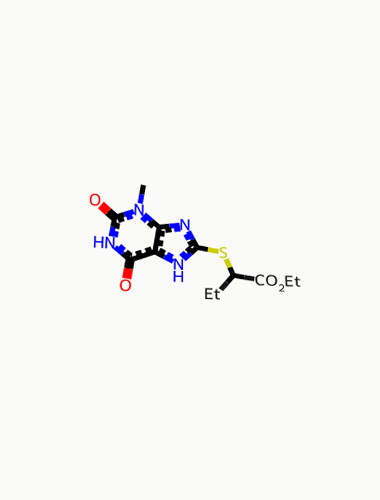 CCOC(=O)C(CC)Sc1nc2c([nH]1)c(=O)[nH]c(=O)n2C